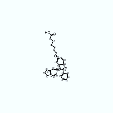 O=C(O)CCCCCCOc1ccc2nc(-c3ccccc3)n(-c3ccc4c(c3)CCC4)c2c1